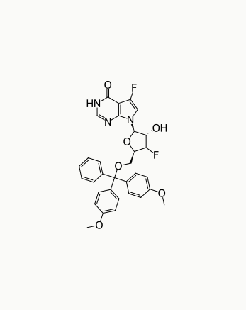 COc1ccc(C(OC[C@H]2O[C@@H](n3cc(F)c4c(=O)[nH]cnc43)[C@H](O)C2F)(c2ccccc2)c2ccc(OC)cc2)cc1